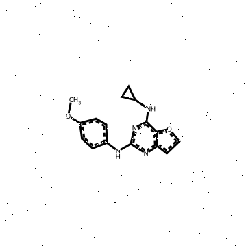 COc1ccc(Nc2nc(NC3CC3)c3occc3n2)cc1